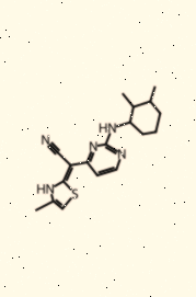 CC1=CSC(=C(C#N)c2ccnc(NC3CCCC(C)C3C)n2)N1